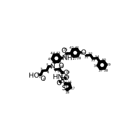 O=C(O)CCCN1CC(C(=O)NS(=O)(=O)c2cccs2)Oc2c(NC(=O)c3ccc(OCCCCc4ccccc4)cc3)cccc21